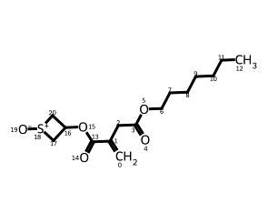 C=C(CC(=O)OCCCCCCC)C(=O)OC1C[S+]([O-])C1